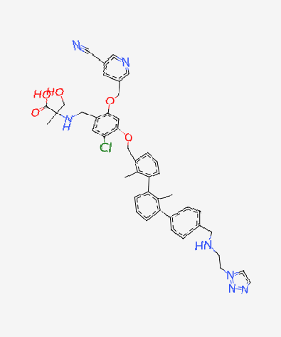 Cc1c(COc2cc(OCc3cncc(C#N)c3)c(CNC(C)(CO)C(=O)O)cc2Cl)cccc1-c1cccc(-c2ccc(CNCCn3ccnn3)cc2)c1C